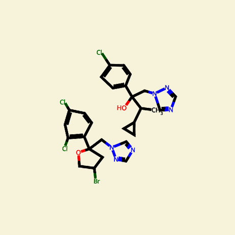 CC(C1CC1)C(O)(Cn1cncn1)c1ccc(Cl)cc1.Clc1ccc(C2(Cn3cncn3)CC(Br)CO2)c(Cl)c1